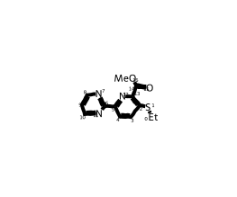 CCSc1ccc(-c2ncccn2)nc1C(=O)OC